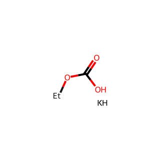 CCOC(=O)O.[KH]